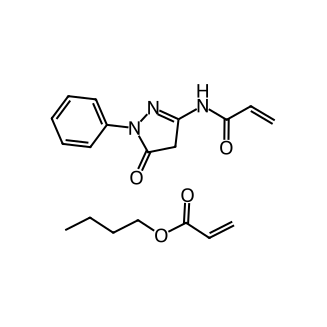 C=CC(=O)NC1=NN(c2ccccc2)C(=O)C1.C=CC(=O)OCCCC